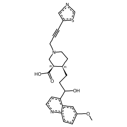 COc1ccc2nccc(C(O)CC[C@@H]3CCN(CC#Cc4cncs4)C[C@@H]3C(=O)O)c2c1